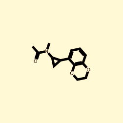 CC(=O)N(C)C1CC1c1cccc2c1OCCO2